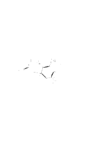 Nc1cc(Br)cc(CC=O)c1O